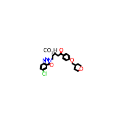 O=C(CC(CCn1nnc2ccc(Cl)cc2c1=O)C(=O)O)c1ccc(OCC2CCOCC2)cc1